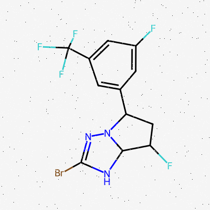 Fc1cc(C2CC(F)C3NC(Br)=NN23)cc(C(F)(F)F)c1